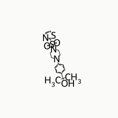 CC(C)(O)c1ccc(N2CCN(S(=O)(=O)c3nccs3)CC2)cc1